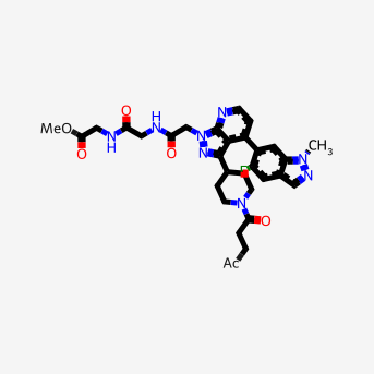 COC(=O)CNC(=O)CNC(=O)Cn1nc(C2CCN(C(=O)CCC(C)=O)CC2)c2c(-c3cc4c(cnn4C)cc3F)ccnc21